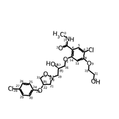 CNC(=O)c1cc(Cl)c(OCCO)cc1OC[C@H](O)CN1C[C@@H](Oc2ccc(Cl)cc2)CO1